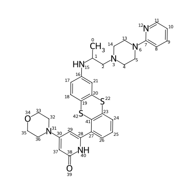 CC(CN1CCN(c2ccccn2)CC1)Nc1ccc2c(c1)Sc1cccc(-c3cc(N4CCOCC4)cc(=O)[nH]3)c1S2